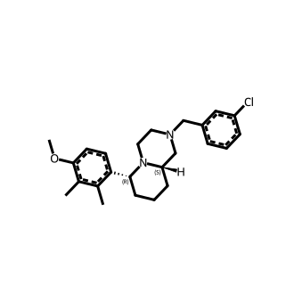 COc1ccc([C@H]2CCC[C@H]3CN(Cc4cccc(Cl)c4)CCN32)c(C)c1C